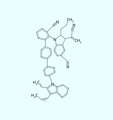 C=Cc1c(/C=C\C)c2ccccc2n1-c1ccc(-c2ccc(-c3cccc(C#N)c3N3c4ccc(C#N)cc4C(C(=C)C#N)C3CCC)cc2)cc1